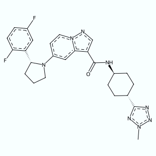 Cn1nnc([C@H]2CC[C@H](NC(=O)c3cnn4ccc(N5CCC[C@@H]5c5cc(F)ccc5F)cc34)CC2)n1